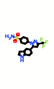 NS(=O)(=O)c1ccc(-n2nc(C(F)(F)F)cc2-c2ccc3[nH]ccc3c2)cc1